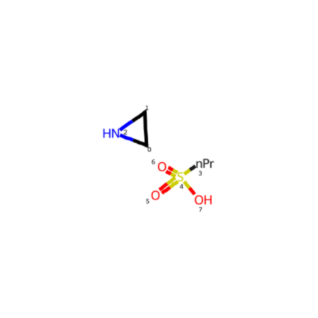 C1CN1.CCCS(=O)(=O)O